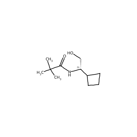 CC(C)(C)C(=O)N[C@H](CO)C1CCC1